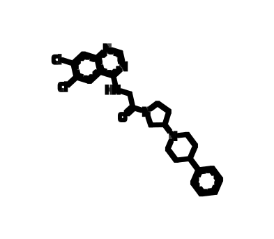 O=C(CNc1ncnc2cc(Cl)c(Cl)cc12)N1CCC(N2CCC(c3ccccc3)CC2)C1